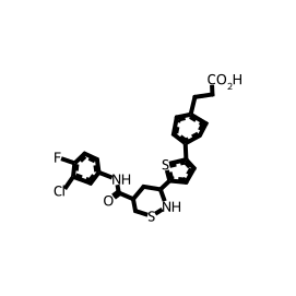 O=C(O)CCc1ccc(-c2ccc(C3CC(C(=O)Nc4ccc(F)c(Cl)c4)CSN3)s2)cc1